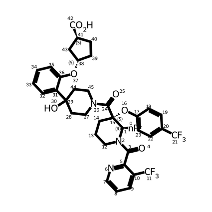 CCC[C@H]1N(C(=O)c2ncccc2C(F)(F)F)CCC[C@@]1(Oc1ccc(C(F)(F)F)cc1)C(=O)N1CCC(O)(c2ccccc2O[C@H]2CC[C@H](C(=O)O)C2)CC1